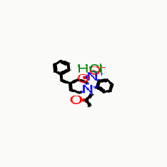 CC(=O)C[N+]1(c2ccccc2[N+](=O)[O-])CCC(Cc2ccccc2)CC1.Cl